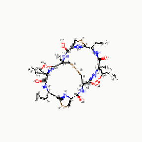 CC(C)CC1NC(=O)[C@H]2N=C(O[C@@H]2C)[C@H]2CSSC[C@@H](NC(=O)c3csc1n3)C1=N[C@H](C(=O)N[C@H](CC(C)C)c3nc(cs3)C(=O)N2)[C@@H](C)O1